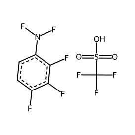 Fc1ccc(N(F)F)c(F)c1F.O=S(=O)(O)C(F)(F)F